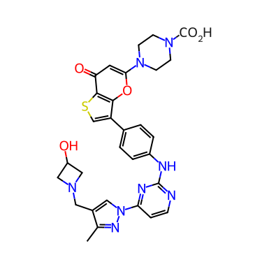 Cc1nn(-c2ccnc(Nc3ccc(-c4csc5c(=O)cc(N6CCN(C(=O)O)CC6)oc45)cc3)n2)cc1CN1CC(O)C1